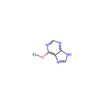 CCOc1ncnc2[nH][c]nc12